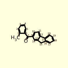 Cc1ccccc1C(=O)c1ccc2c(c1)Cc1ccccc1-2